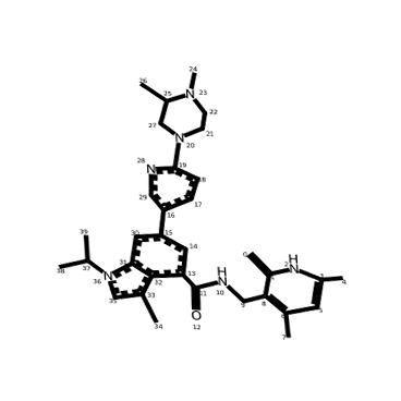 C=C1NC(C)=CC(C)=C1CNC(=O)c1cc(-c2ccc(N3CCN(C)C(C)C3)nc2)cc2c1c(C)cn2C(C)C